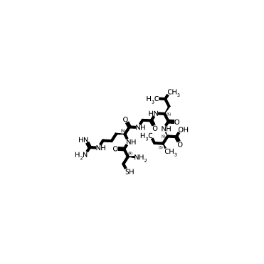 CC[C@H](C)[C@H](NC(=O)[C@H](CC(C)C)NC(=O)CNC(=O)[C@H](CCCNC(=N)N)NC(=O)[C@@H](N)CS)C(=O)O